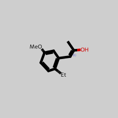 CCc1ccc(OC)cc1/C=C(\C)O